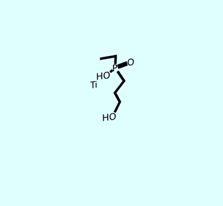 CCP(=O)(O)CCCO.[Ti]